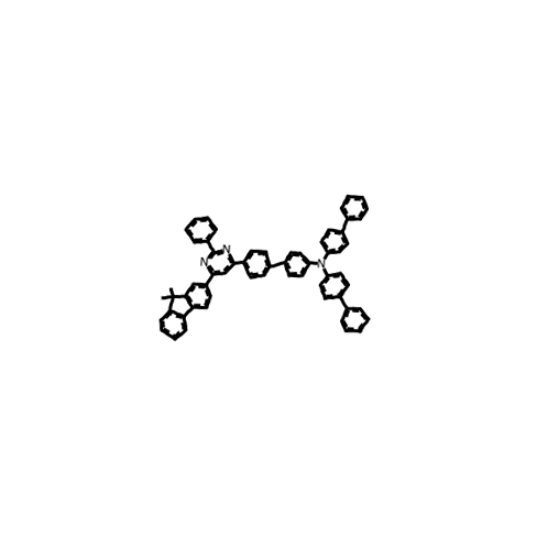 CC1(C)c2ccccc2-c2ccc(-c3cc(-c4ccc(-c5ccc(N(c6ccc(-c7ccccc7)cc6)c6ccc(-c7ccccc7)cc6)cc5)cc4)nc(-c4ccccc4)n3)cc21